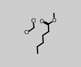 CCCCCC(=O)OC.ClCCl